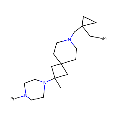 CC(C)CC1(CN2CCC3(CC2)CC(C)(N2CCN(C(C)C)CC2)C3)CC1